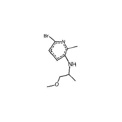 COCC(C)Nc1ccc(Br)nc1C